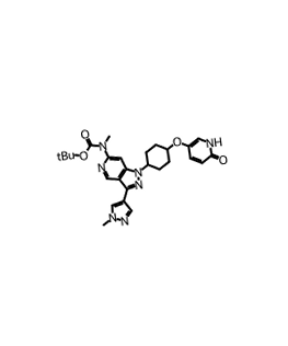 CN(C(=O)OC(C)(C)C)c1cc2c(cn1)c(-c1cnn(C)c1)nn2C1CCC(Oc2ccc(=O)[nH]c2)CC1